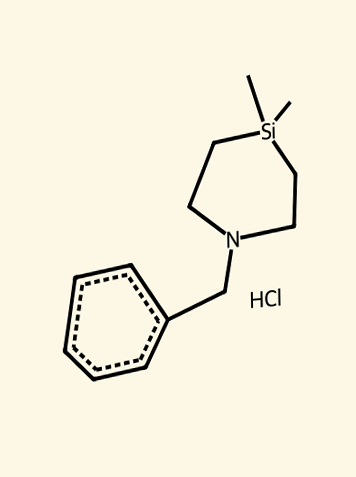 C[Si]1(C)CCN(Cc2ccccc2)CC1.Cl